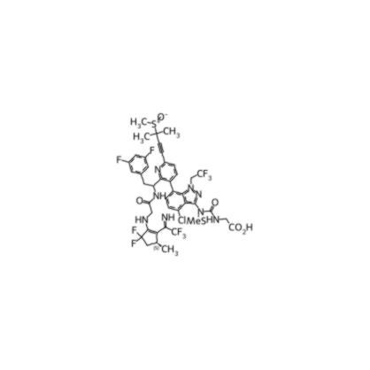 CSN(C(=O)NCC(=O)O)c1nn(CC(F)(F)F)c2c(-c3ccc(C#CC(C)(C)[S+](C)[O-])nc3C(Cc3cc(F)cc(F)c3)NC(=O)CNC3=C(C(=N)C(F)(F)F)[C@@H](C)CC3(F)F)ccc(Cl)c12